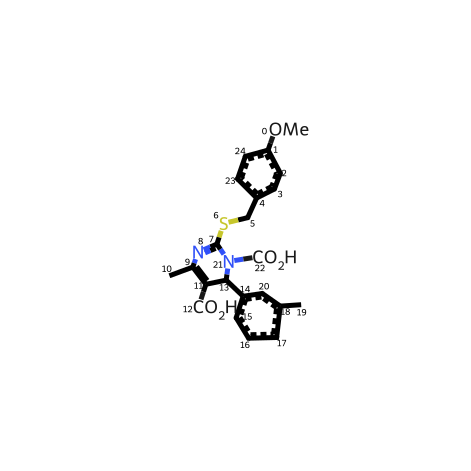 COc1ccc(CSC2=NC(C)=C(C(=O)O)C(c3cccc(C)c3)N2C(=O)O)cc1